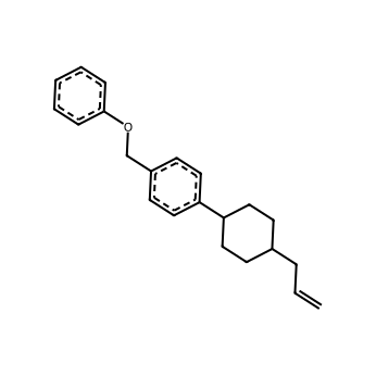 C=CCC1CCC(c2ccc(COc3ccccc3)cc2)CC1